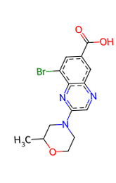 CC1CN(c2cnc3cc(C(=O)O)cc(Br)c3n2)CCO1